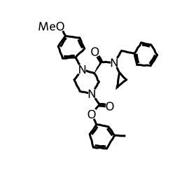 COc1ccc(N2CCN(C(=O)Oc3cccc(C)c3)C[C@@H]2C(=O)N(Cc2ccccc2)C2CC2)cc1